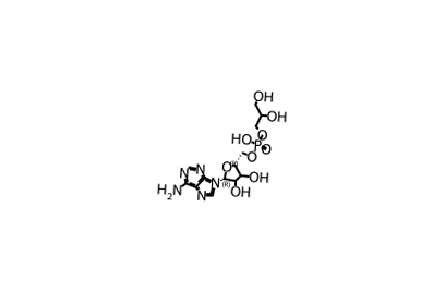 Nc1ncnc2c1ncn2[C@@H]1O[C@H](COP(=O)(O)OCC(O)CO)C(O)C1O